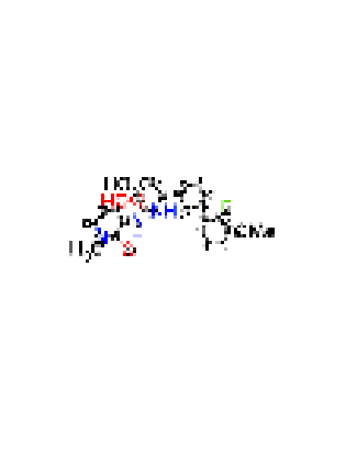 COc1cccc(-c2cccc([C@H](CC(=O)O)NC(=O)Nc3c(O)ccn(C)c3=O)c2)c1F